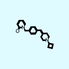 O=c1ccccn1Cc1ccc(C=C2CCN(C3CCC3)CC2)cc1